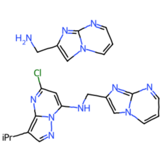 CC(C)c1cnn2c(NCc3cn4cccnc4n3)cc(Cl)nc12.NCc1cn2cccnc2n1